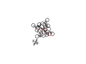 C1CCN(P2CCC(N3CCCC3)(N3CCCC3)C2=N[P+](N=C2P(N3CCCC3)CCC2(N2CCCC2)N2CCCC2)(N=C2P(N3CCCC3)CCC2(N2CCCC2)N2CCCC2)N=C2P(N3CCCC3)CCC2(N2CCCC2)N2CCCC2)C1.F[B-](F)(F)F